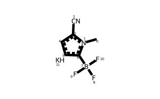 Cn1c(C#N)ccc1[B-](F)(F)F.[KH]